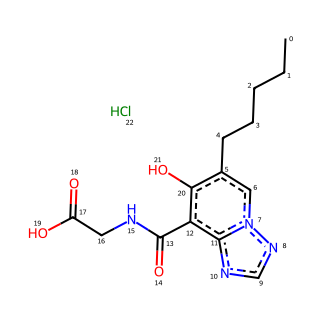 CCCCCc1cn2ncnc2c(C(=O)NCC(=O)O)c1O.Cl